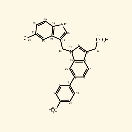 Cc1ccc(-c2ccc3c(CC(=O)O)cn(Cc4csc5ccc(Cl)cc45)c3c2)cc1